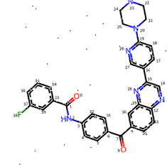 O=C(Nc1ccc(C(=O)c2ccc3ncc(-c4ccc(N5CCNCC5)nc4)nc3c2)cc1)c1cccc(F)c1